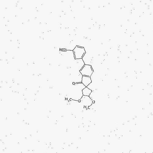 COC1CC2(Cc3ccc(-c4cccc(C#N)c4)cc3C2=O)CC1OC